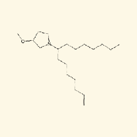 CCCCCCCC(CCCCCCC)N1CCC(OC)C1